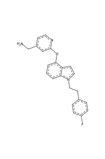 NCc1ccnc(Oc2cccc3c2ccn3CCc2ccc(F)cc2)c1